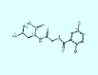 CC(C)C[C@H](NC(=O)CNC(=O)c1cc(Cl)ccc1Cl)S(=O)O